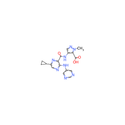 Cn1ncc(NC(=O)c2nc(C3CC3)cnc2Nc2cncnc2)c1C(=O)O